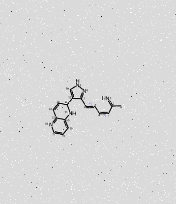 CC(=N)/C=C\C=C\c1n[nH]cc1C1C=Cc2ncccc2N1